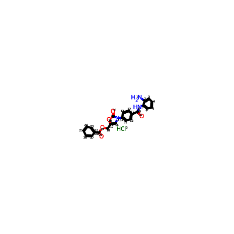 Cl.Nc1ccccc1NC(=O)c1ccc(-n2cc(COC(=O)c3ccccc3)oc2=O)cc1